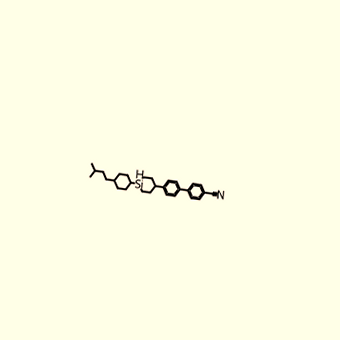 CC(C)CCC1CCC([SiH]2CCC(c3ccc(-c4ccc(C#N)cc4)cc3)CC2)CC1